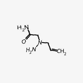 C=CCN(N)CC(N)=O